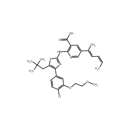 C/C=C\C=C(/C)c1cnc(Nc2nc(-c3ccc(Cl)c(OCCOC)c3)c(CC(C)(C)C)s2)c(C(=O)O)c1